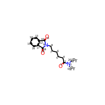 CC(C)N(C(=O)CCCCCN1C(=O)c2ccccc2C1=O)C(C)C